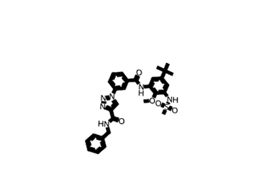 COc1c(NC(=O)c2cccc(-n3cc(C(=O)NCc4ccccc4)nn3)c2)cc(C(C)(C)C)cc1NS(C)(=O)=O